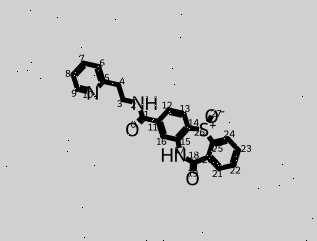 O=C(NCCc1ccccn1)c1ccc2c(c1)NC(=O)c1ccccc1[S+]2[O-]